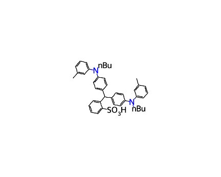 CCCCN(c1ccc(C(c2ccc(N(CCCC)c3cccc(C)c3)cc2)c2ccccc2S(=O)(=O)O)cc1)c1cccc(C)c1